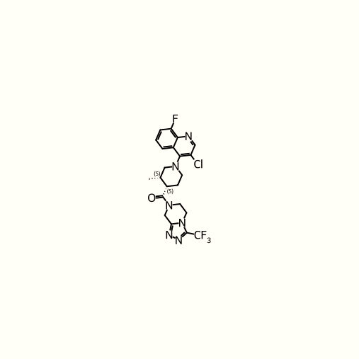 C[C@@H]1CN(c2c(Cl)cnc3c(F)cccc23)CC[C@@H]1C(=O)N1CCn2c(nnc2C(F)(F)F)C1